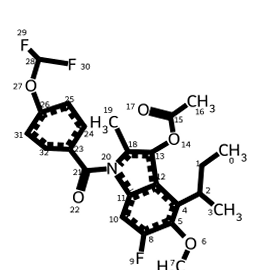 CCC(C)c1c(OC)c(F)cc2c1c(OC(C)=O)c(C)n2C(=O)c1ccc(OC(F)F)cc1